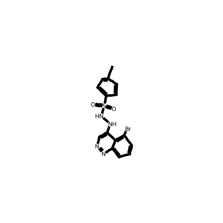 Cc1ccc(S(=O)(=O)NNc2cnnc3cccc(Br)c23)cc1